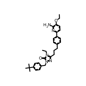 CCOc1ccc(-c2ccc(CCCc3nn(Cc4ccc(C(C)(C)C)cc4)c(=O)n3CC)cc2)nc1N